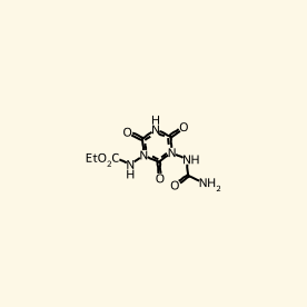 CCOC(=O)Nn1c(=O)[nH]c(=O)n(NC(N)=O)c1=O